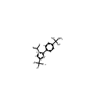 [2H]C([2H])(N)c1ccc(-c2nc(C(F)(F)F)cn2C(C)C)cc1